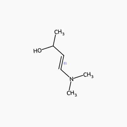 CC(O)/C=C/N(C)C